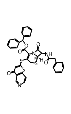 O=C(Cc1ccccc1)NC1C(=O)N2C(C(=O)OC(c3ccccc3)c3ccccc3)=C(Sc3cc(=O)c4cnccc4s3)CS[C@H]12